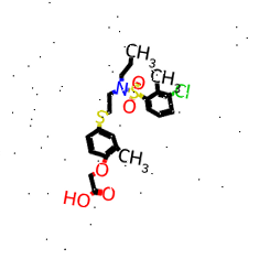 CCCN(CCSc1ccc(OCC(=O)O)c(C)c1)S(=O)(=O)c1cccc(Cl)c1C